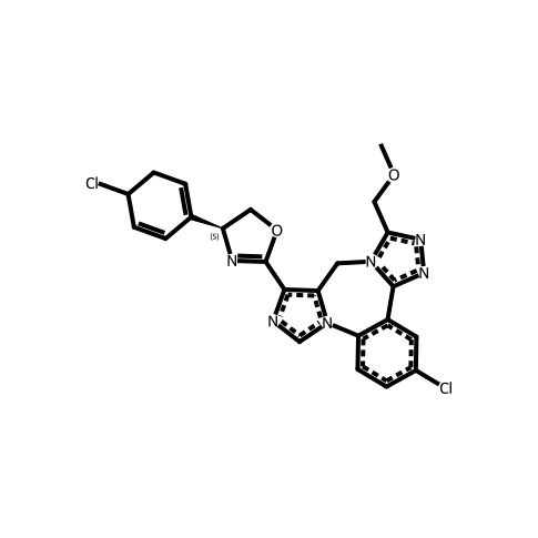 COCc1nnc2n1Cc1c(C3=N[C@@H](C4=CCC(Cl)C=C4)CO3)ncn1-c1ccc(Cl)cc1-2